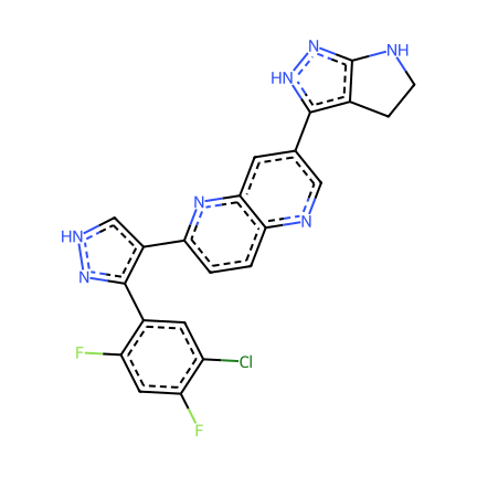 Fc1cc(F)c(-c2n[nH]cc2-c2ccc3ncc(-c4[nH]nc5c4CCN5)cc3n2)cc1Cl